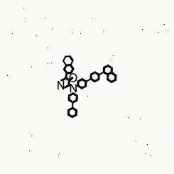 C1=Cc2cc3oc4c(N(c5ccc(-c6ccccc6)cc5)c5ccc(-c6ccc(-c7cccc8ccccc78)cc6)cc5)cncc4c3cc2CC1